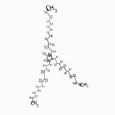 CCCCCCCCCCCCCn1cc[n+](CCCCCCCCCCCCC)c1CCCCCCCCCCC